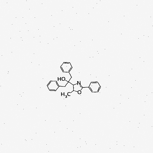 CC1OC(c2ccccc2)=NC1C(O)(Cc1ccccc1)Cc1ccccc1